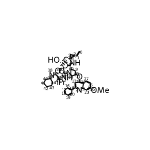 C=C[C@@H]1C[C@]1(NC(=O)[C@@H]1C[C@@H](Oc2cc(-c3ccccc3)nc3cc(OC)ccc23)CN1C(=O)N[C@H](C(=O)N(C)C1CCCCC1)C(C)C)C(=O)O